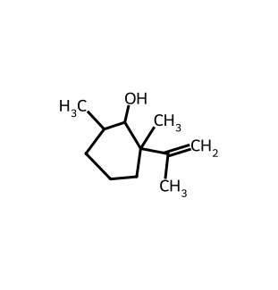 C=C(C)C1(C)CCCC(C)C1O